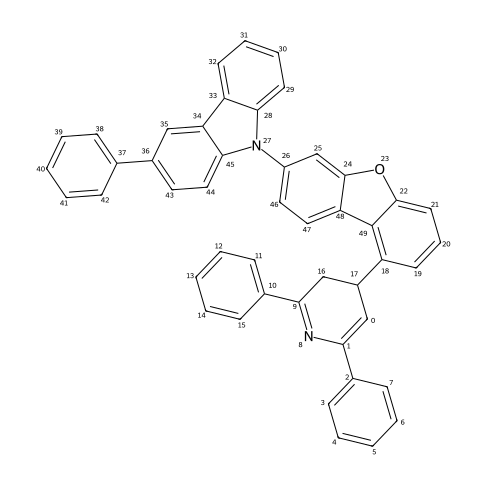 C1=C(c2ccccc2)N=C(c2ccccc2)CC1c1cccc2oc3cc(-n4c5ccccc5c5cc(-c6ccccc6)ccc54)ccc3c12